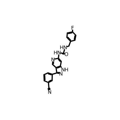 N#Cc1cccc(-c2n[nH]c3cc(NC(=O)NCc4ccc(F)cc4)ncc23)c1